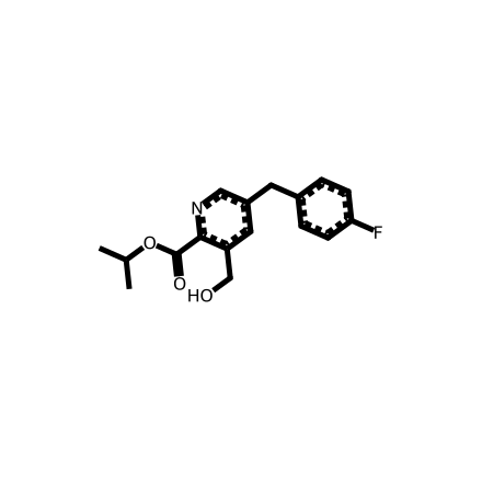 CC(C)OC(=O)c1ncc(Cc2ccc(F)cc2)cc1CO